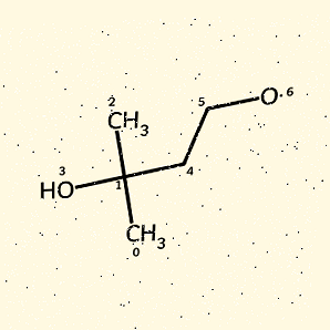 CC(C)(O)CC[O]